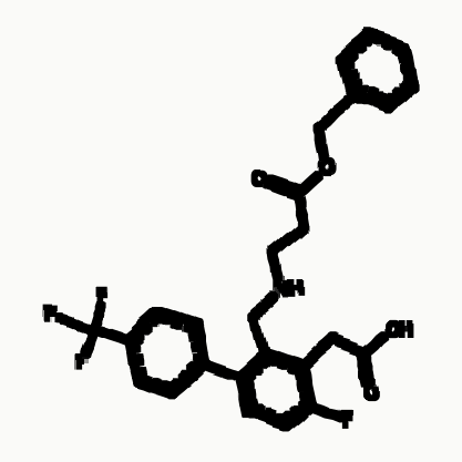 O=C(O)Cc1c(F)ccc(-c2ccc(C(F)(F)F)cc2)c1CNCCC(=O)OCc1ccccc1